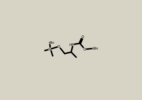 CC(CO[Si](C)(C)C(C)(C)C)NC(=O)OC(C)(C)C